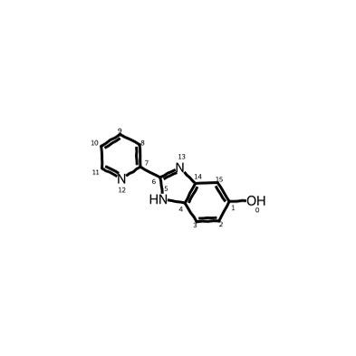 Oc1ccc2[nH]c(-c3ccccn3)nc2c1